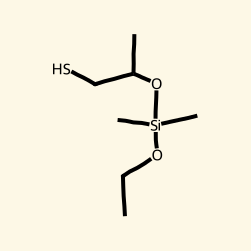 CCO[Si](C)(C)OC(C)CS